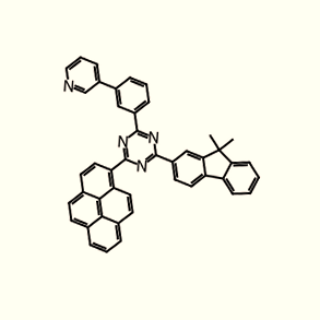 CC1(C)c2ccccc2-c2ccc(-c3nc(-c4cccc(-c5cccnc5)c4)nc(-c4ccc5ccc6cccc7ccc4c5c67)n3)cc21